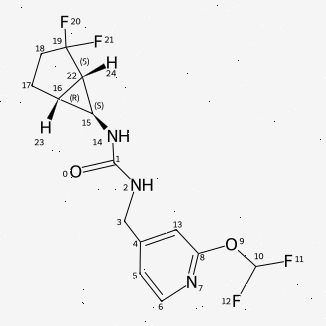 O=C(NCc1ccnc(OC(F)F)c1)N[C@H]1[C@@H]2CCC(F)(F)[C@@H]21